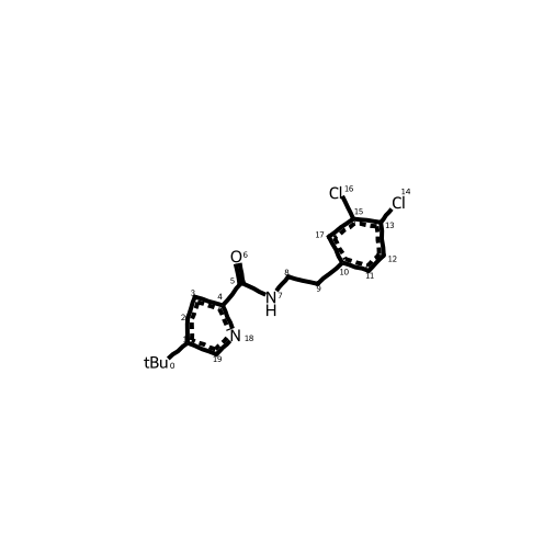 CC(C)(C)c1ccc(C(=O)NCCc2ccc(Cl)c(Cl)c2)nc1